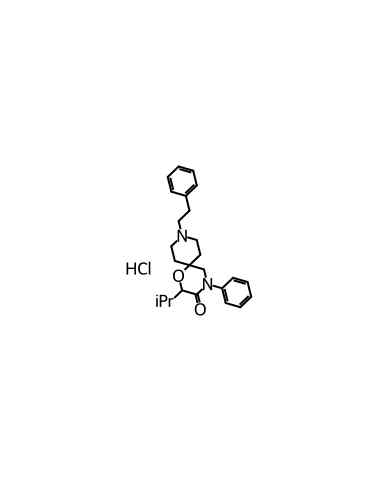 CC(C)C1OC2(CCN(CCc3ccccc3)CC2)CN(c2ccccc2)C1=O.Cl